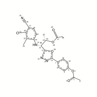 CC(=O)Oc1ccc(-c2nnc([C@H](Nc3ccc(C#N)c(Cl)c3C)[C@H](C)OC(C)=O)o2)cc1